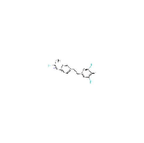 CCC/C(F)=C\c1ccc(CCc2cc(F)c(C)c(F)c2)cc1